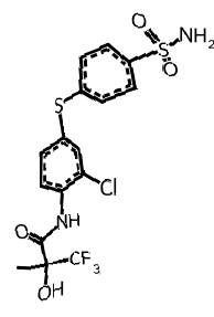 C[C@@](O)(C(=O)Nc1ccc(Sc2ccc(S(N)(=O)=O)cc2)cc1Cl)C(F)(F)F